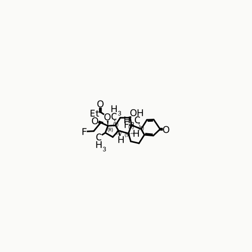 CCC(=O)O[C@]1(C(=O)CF)C(C)C[C@H]2[C@@H]3CCC4=CC(=O)C=C[C@]4(C)[C@@]3(F)C(O)C[C@@]21C